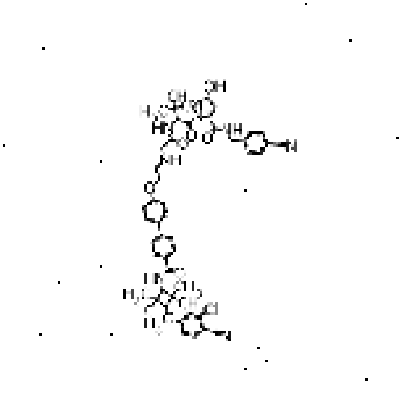 CC(C)(C)[C@H](NC(=O)CNCCOc1ccc(-c2ccc(C(=O)N[C@H]3C(C)(C)[C@H](Oc4ccc(C#N)c(Cl)c4)C3(C)C)cc2)cc1)C(=O)N1C[C@H](O)C[C@H]1C(=O)NCc1ccc(C#N)cc1